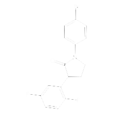 O=C1C(c2cc(F)ccc2F)CCN1c1ccc(Br)cc1